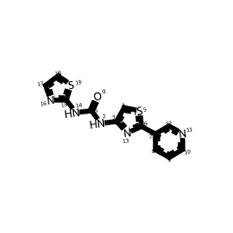 O=C(Nc1csc(-c2cccnc2)n1)Nc1nccs1